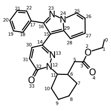 CCOC(=O)CC1CCCCC1n1nc(-c2c(-c3ccccc3)nn3ccccc23)ccc1=O